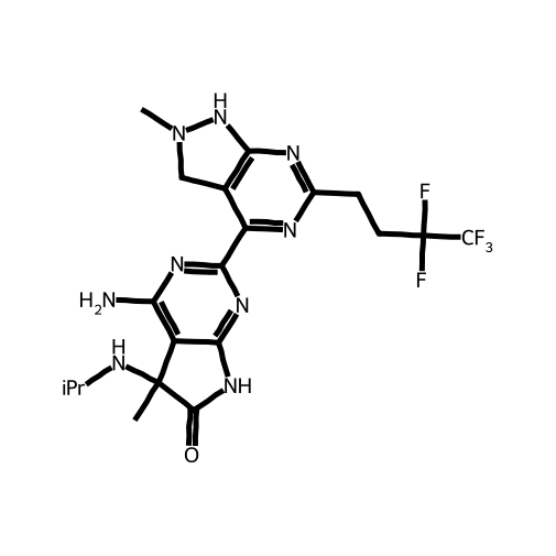 CC(C)NC1(C)C(=O)Nc2nc(-c3nc(CCC(F)(F)C(F)(F)F)nc4c3CN(C)N4)nc(N)c21